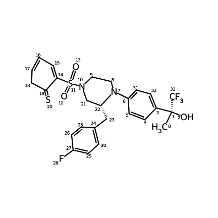 C[C@](O)(c1ccc(N2CCN(S(=O)(=O)C3=CC=CCC3=S)C[C@H]2Cc2ccc(F)cc2)cc1)C(F)(F)F